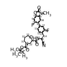 Cn1c(=O)oc2cc(F)c(-c3ccc(C[C@@H](C#N)NC(=O)C4CN(C(=O)OC(C)(C)C)CCCO4)c(F)c3)cc21